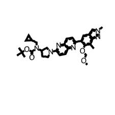 COCOc1c(-c2ccc3nc(N4CCC(N(CC5CC5)C(=O)OC(C)(C)C)C4)ccc3n2)cc2cn(C)nc2c1C